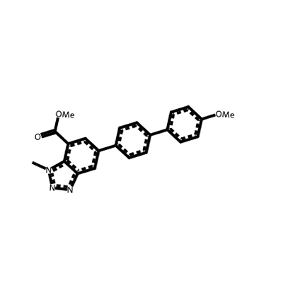 COC(=O)c1cc(-c2ccc(-c3ccc(OC)cc3)cc2)cc2nnn(C)c12